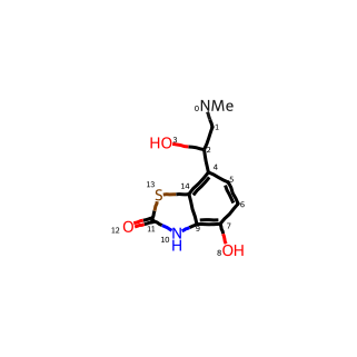 CNCC(O)c1ccc(O)c2[nH]c(=O)sc12